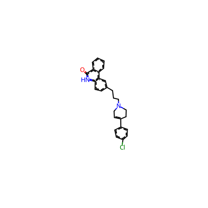 O=c1[nH]c2ccc(CCCN3CC=C(c4ccc(Cl)cc4)CC3)cc2c2ccccc12